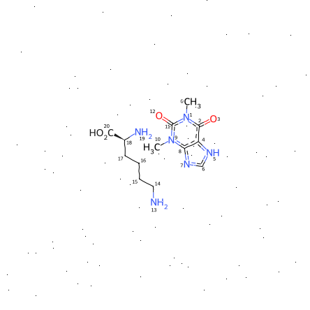 Cn1c(=O)c2[nH]cnc2n(C)c1=O.NCCCC[C@H](N)C(=O)O